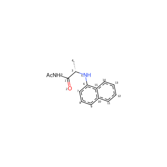 CC(=O)NC(=O)[C@H](C)Nc1cccc2ccccc12